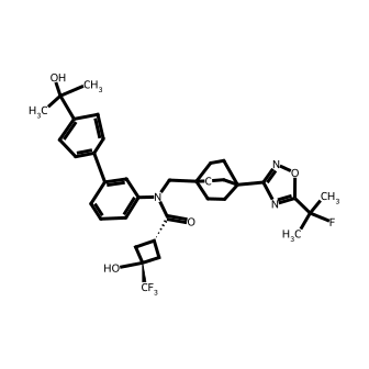 CC(C)(O)c1ccc(-c2cccc(N(CC34CCC(c5noc(C(C)(C)F)n5)(CC3)CC4)C(=O)[C@H]3C[C@](O)(C(F)(F)F)C3)c2)cc1